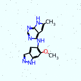 COc1cc2[nH]ncc2cc1Nc1ncnc2[nH]c(C)cc12